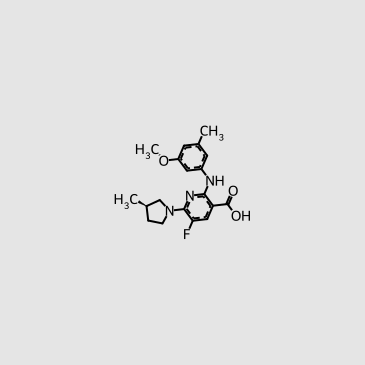 COc1cc(C)cc(Nc2nc(N3CC[C@@H](C)C3)c(F)cc2C(=O)O)c1